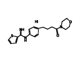 I.N=C(Nc1ccc(CCCC(=O)N2CCOCC2)cc1)c1cccs1